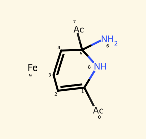 CC(=O)C1=CC=CC(N)(C(C)=O)N1.[Fe]